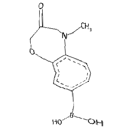 CN1C(=O)COc2cc(B(O)O)ccc21